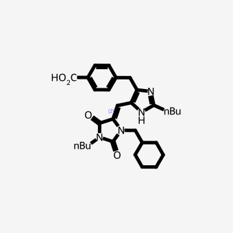 CCCCc1nc(Cc2ccc(C(=O)O)cc2)c(/C=C2/C(=O)N(CCCC)C(=O)N2CC2CCCCC2)[nH]1